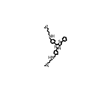 CN(C)CCCCNCc1ccc(-c2nc(-c3ccc(CNCCCCN(C)C)cc3)c3sc(-c4ccccc4)cc3n2)cc1